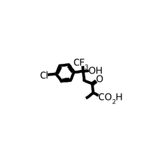 CC(C(=O)O)C(=O)CC(O)(c1ccc(Cl)cc1)C(F)(F)F